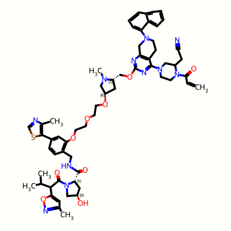 C=CC(=O)N1CCN(c2nc(OC[C@@H]3C[C@@H](OCCOCCOc4cc(-c5scnc5C)ccc4CNC(=O)[C@@H]4C[C@@H](O)CN4C(=O)C(c4cc(C)no4)C(C)C)CN3C)nc3c2CCN(c2cccc4ccccc24)C3)CC1CC#N